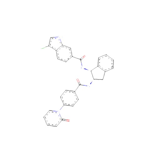 O=C(N[C@@H]1Cc2ccccc2[C@@H]1NC(=O)c1ccc2c(Cl)c[nH]c2c1)c1ccc(-n2ccccc2=O)cc1